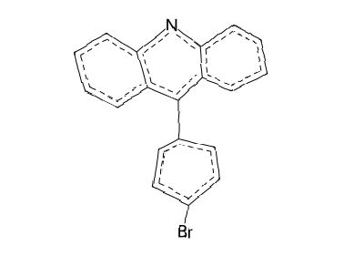 Brc1ccc(-c2c3ccccc3nc3ccccc23)cc1